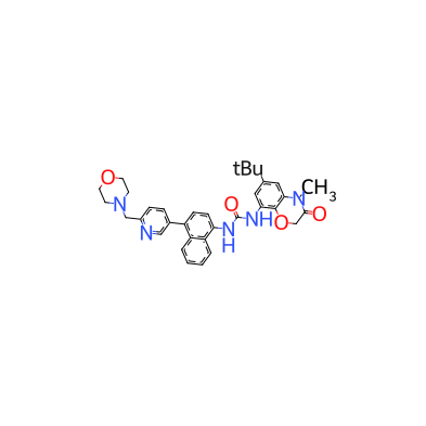 CN1C(=O)COc2c(NC(=O)Nc3ccc(-c4ccc(CN5CCOCC5)nc4)c4ccccc34)cc(C(C)(C)C)cc21